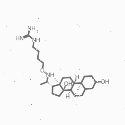 CC(NOCCCCNC(=N)N)[C@H]1CC[C@@]2(O)[C@@H]3CCC4CC(O)CC[C@]4(C)[C@H]3CC[C@]12C